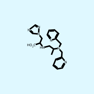 CC(CNC(Cn1cncn1)C(=O)O)N(Cc1ccccn1)Cc1ccccn1